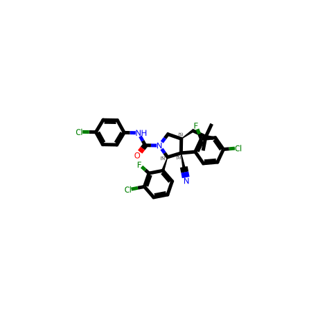 CC(C)(C)C[C@@H]1CN(C(=O)Nc2ccc(Cl)cc2)[C@H](c2cccc(Cl)c2F)[C@@]1(C#N)c1ccc(Cl)cc1F